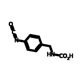 O=C=Nc1ccc(CNC(=O)O)cc1